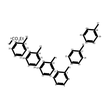 CCOC(C)=O.Cc1ccccc1.Cc1ccccc1.Cc1ccccc1.Cc1ccccc1.Cc1ccccc1.Cc1ccccc1